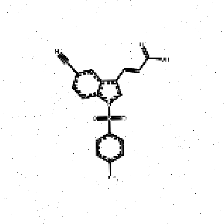 Cc1ccc(S(=O)(=O)n2cc(C=CC(=O)O)c3cc(C#N)ccc32)cc1